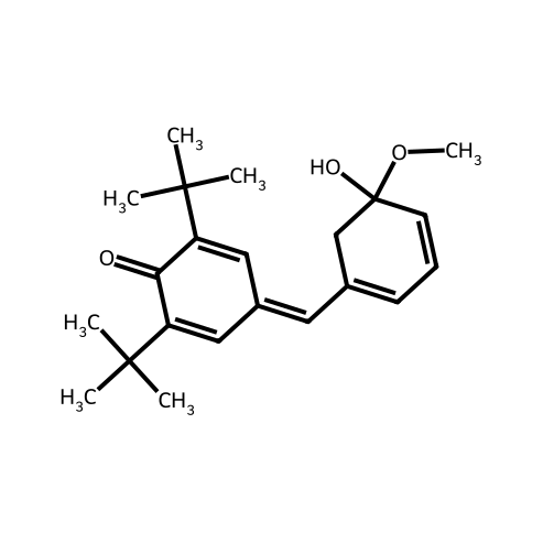 COC1(O)C=CC=C(C=C2C=C(C(C)(C)C)C(=O)C(C(C)(C)C)=C2)C1